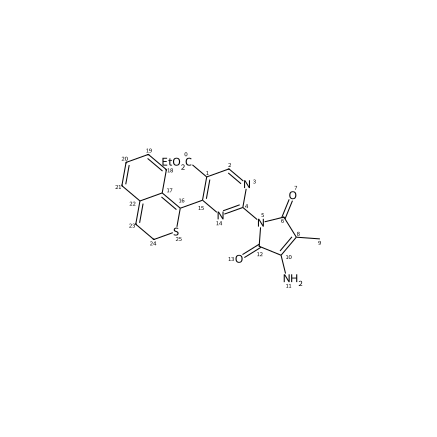 CCOC(=O)c1cnc(N2C(=O)C(C)=C(N)C2=O)nc1C1=c2ccccc2=CCS1